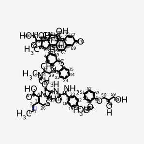 C/C=C/C1=C(C(=O)O)N2C(=O)[C@@H](NC(=O)C(N)c3ccc(O)cc3)[C@H]2SC1.CC(CN1c2ccccc2SC2C=CC=CC21)N(C)C.COc1ccccc1OCC(O)CO.C[C@@H]1C[C@H]2[C@@H]3CCC4=CC(=O)C=C[C@]4(C)[C@@]3(F)[C@@H](O)C[C@]2(C)[C@@]1(O)C(=O)CO